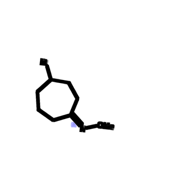 CCC1CCC/C(=N/OC)CC1